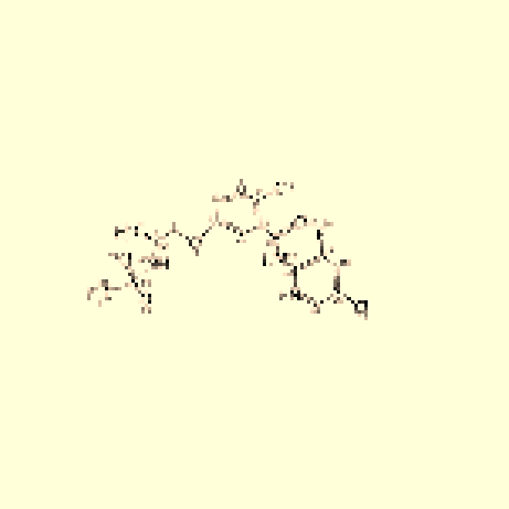 C[C@@H](COc1cnc(Cl)c(C(=O)Nc2ncc(Cl)cc2F)c1)NS(=O)(=O)C(F)(F)F